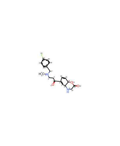 CN(CCC(=O)C1=CC2NCC(=O)OC2C=C1)Cc1ccc(F)cc1